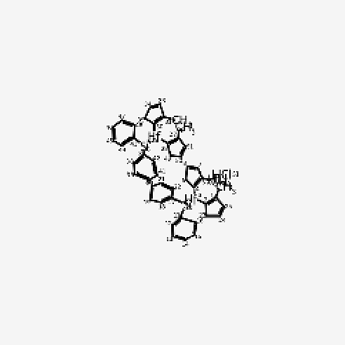 CC1=[C]([Hf]([C]2=C(C)C=CC2)=[Si](c2ccccc2)c2ccccc2)CC=C1.CC1=[C]([Hf]([C]2=C(C)C=CC2)=[Si](c2ccccc2)c2ccccc2)CC=C1.Cl.Cl